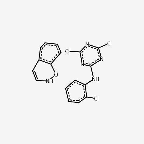 C1=Cc2ccccc2ON1.Clc1nc(Cl)nc(Nc2ccccc2Cl)n1